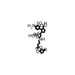 Nc1ccc2c3c(c(=O)oc2c1S(=O)(=O)O)CCC3C(CC(=O)NCCCC(=O)ON1C(=O)CCC1=O)SOOO